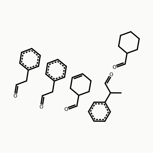 CC(C=O)c1ccccc1.O=CC1CC=CCC1.O=CC1CCCCC1.O=CCc1ccccc1.O=CCc1ccccc1